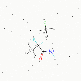 C[Si](C)(C)C(F)(F)C(=O)NF.C[Si](C)(C)Cl